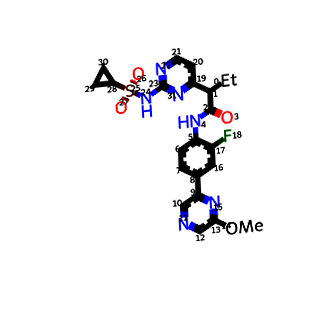 CCC(C(=O)Nc1ccc(-c2cncc(OC)n2)cc1F)c1ccnc(NS(=O)(=O)C2CC2)n1